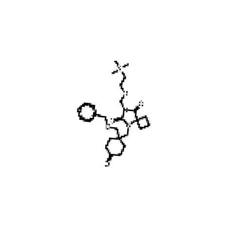 C[Si](C)(C)CCOCN1C(=O)N(CC2(COCc3ccccc3)CCC(=O)CC2)C2(CCC2)C1=O